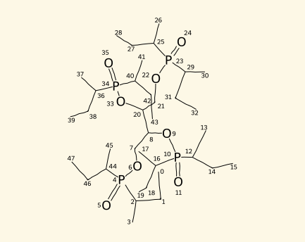 CCC(C)P(=O)(OCC(OP(=O)(C(C)CC)C(C)CC)C(COP(=O)(C(C)CC)C(C)CC)OP(=O)(C(C)CC)C(C)CC)C(C)CC